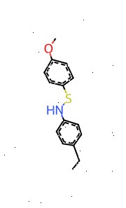 CCc1ccc(NSc2ccc(OC)cc2)cc1